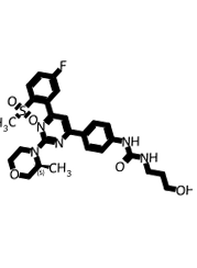 C[C@H]1COCCN1c1nc(-c2ccc(NC(=O)NCCCO)cc2)cc(-c2cc(F)ccc2S(C)(=O)=O)n1